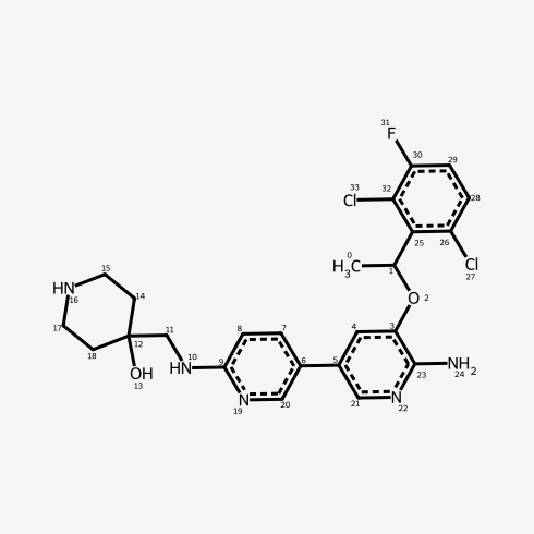 CC(Oc1cc(-c2ccc(NCC3(O)CCNCC3)nc2)cnc1N)c1c(Cl)ccc(F)c1Cl